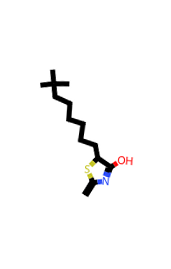 C=C1N=C(O)C(CCCCCCC(C)(C)C)S1